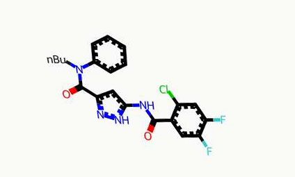 CCCCN(C(=O)c1cc(NC(=O)c2cc(F)c(F)cc2Cl)[nH]n1)c1ccccc1